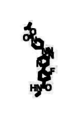 CCNC(=O)c1ccc(-c2cc3nnn(C4CCN(C(=O)OC(C)C)CC4)c3cn2)c(F)c1